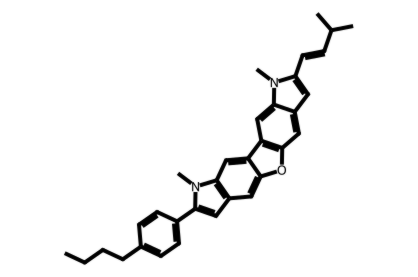 CCCCc1ccc(-c2cc3cc4oc5cc6cc(/C=C/C(C)C)n(C)c6cc5c4cc3n2C)cc1